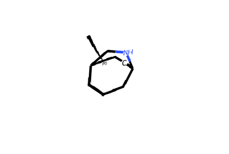 C[C@@H]1CCC2CCCC1CN2